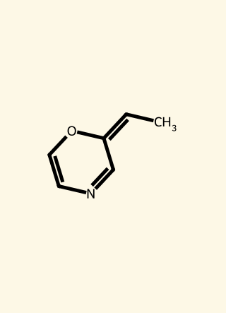 CC=C1C=NC=CO1